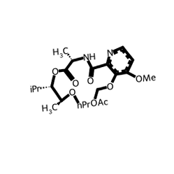 CCCO[C@@H](C)[C@@H](OC(=O)[C@H](C)NC(=O)c1nccc(OC)c1OCOC(C)=O)C(C)C